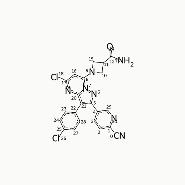 N#Cc1ccc(-c2nn3c(N4CC(C(N)=O)C4)cc(Cl)nc3c2-c2ccc(Cl)cc2)cn1